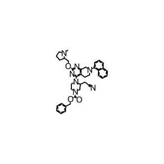 CN1CCCC1COc1nc2c(c(N3CCN(C(=O)OCc4ccccc4)CC3CC#N)n1)CCN(c1cccc3ccccc13)C2